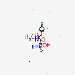 Cc1nc(C(=O)C2=C(O)C(=S)NC2)c(Cc2ccc(F)cc2)o1